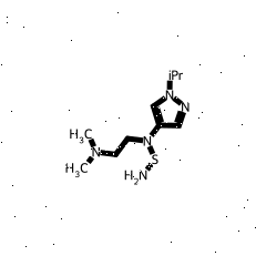 CC(C)n1cc(N(CCN(C)C)SN)cn1